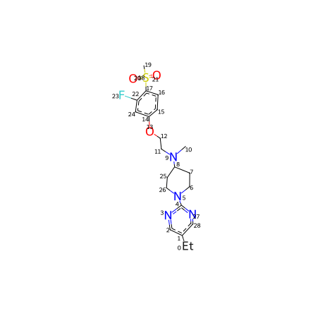 CCc1cnc(N2CCC(N(C)CCOc3ccc(S(C)(=O)=O)c(F)c3)CC2)nc1